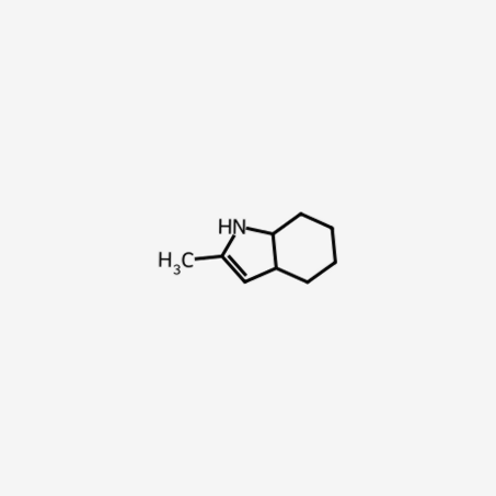 CC1=CC2CCCCC2N1